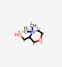 C[N+]1(C)CCOCC1CO